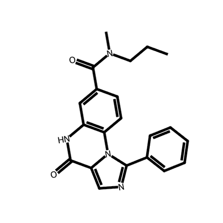 CCCN(C)C(=O)c1ccc2c(c1)[nH]c(=O)c1cnc(-c3ccccc3)n12